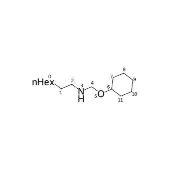 CCCCCCCCNCOC1CCCCC1